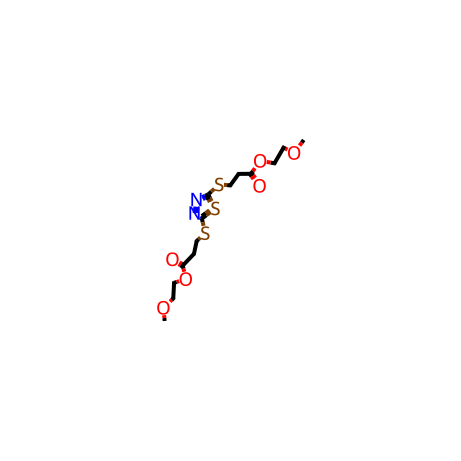 COCCOC(=O)CCSc1nnc(SCCC(=O)OCCOC)s1